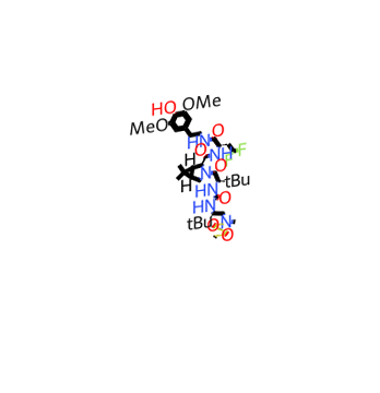 COc1cc(CCNC(=O)[C@H](CC(F)F)NC(=O)[C@@H]2[C@@H]3[C@H](CN2C(=O)[C@@H](NC(=O)N[C@H](CN(C)S(C)(=O)=O)C(C)(C)C)C(C)(C)C)C3(C)C)cc(OC)c1O